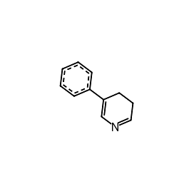 C1=NC=C(c2ccccc2)CC1